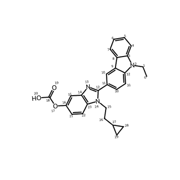 CCn1c2ccccc2c2cc(-c3nc4cc(OC(=O)O)ccc4n3CCC3CC3)ccc21